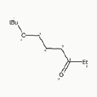 CCC(=O)CCCOC(C)(C)C